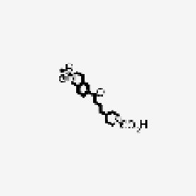 CS(=O)(=O)N1CCc2cc(C(=O)CCCC3CCN(C(=O)O)CC3)ccc2C1